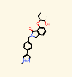 CC[C@H](Oc1cccc2c1C(=O)N(Cc1ccc(-c3cnn(C)c3)cc1)C2)[C@H](C)O